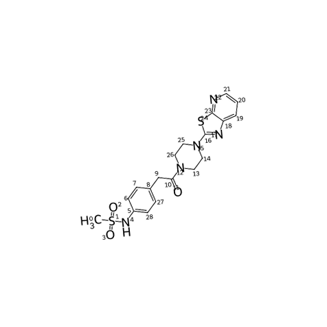 CS(=O)(=O)Nc1ccc(CC(=O)N2CCN(c3nc4cccnc4s3)CC2)cc1